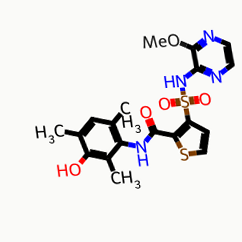 COc1nccnc1NS(=O)(=O)c1ccsc1C(=O)Nc1c(C)cc(C)c(O)c1C